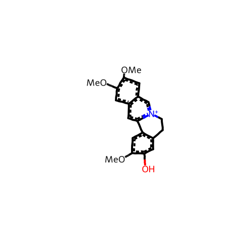 COc1cc2c(cc1O)CC[n+]1cc3cc(OC)c(OC)cc3cc1-2